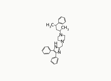 CC(CC(C)N1CCN(Cc2nc(-c3ccccc3)c(-c3ccccc3)[nH]2)CC1)c1ccccc1